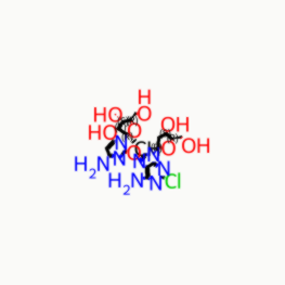 C#C[C@@]1(n2ccc(N)nc2=O)O[C@H](CO)[C@@H](O)[C@H]1O.Nc1nc(Cl)nc2c1ncn2[C@H]1C[C@H](O)[C@@H](CO)O1